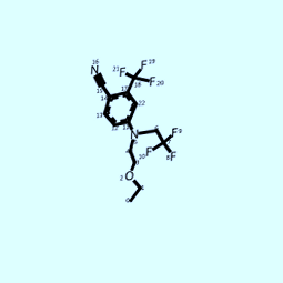 CCOCCN(CC(F)(F)F)c1ccc(C#N)c(C(F)(F)F)c1